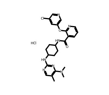 Cc1cnc(NC2CCC(NC(=O)c3cccnc3Oc3cncc(Cl)c3)CC2)nc1N(C)C.Cl